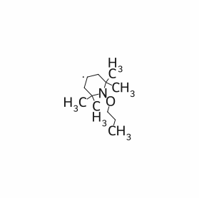 CCCON1C(C)(C)C[CH]CC1(C)C